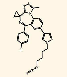 Cc1nnc2n1-c1ccc(-c3cnn(CCCCN=[N+]=[N-])c3)cc1C(c1ccc(Cl)cc1)=NC21CC1